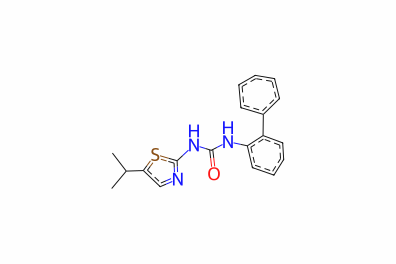 CC(C)c1cnc(NC(=O)Nc2ccccc2-c2ccccc2)s1